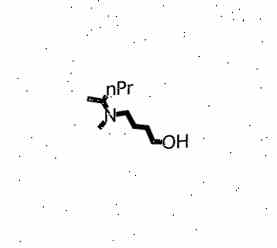 CCCC(C)N(C)CCCCO